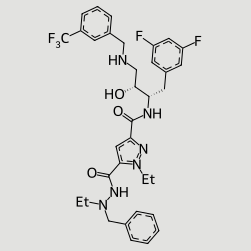 CCN(Cc1ccccc1)NC(=O)c1cc(C(=O)N[C@@H](Cc2cc(F)cc(F)c2)[C@H](O)CNCc2cccc(C(F)(F)F)c2)nn1CC